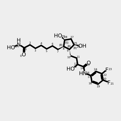 O=C(CCCCCC[C@@H]1[C@@H](CCC(O)C(=O)Nc2ccc(F)c(F)c2)[C@H](O)C[C@@H]1O)NO